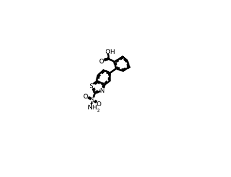 NS(=O)(=O)c1nc2cc(-c3ccccc3C(=O)O)ccc2s1